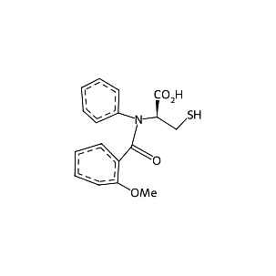 COc1ccccc1C(=O)N(c1ccccc1)[C@H](CS)C(=O)O